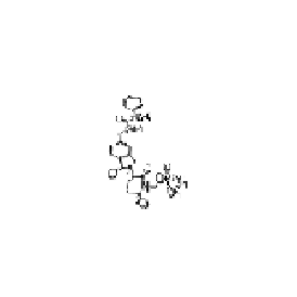 O=C(NCc1ccc2c(c1)CN(C1CCC(=O)N(COP(=O)(O)O)C1=O)C2=O)Nc1ccccc1